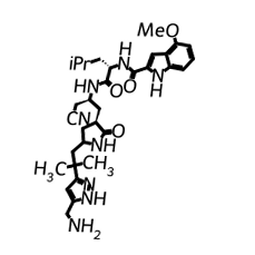 COc1cccc2[nH]c(C(=O)N[C@@H](CC(C)C)C(=O)N[C@H](CC#N)C[C@@H]3CC(CC(C)(C)c4cc(CN)[nH]n4)NC3=O)cc12